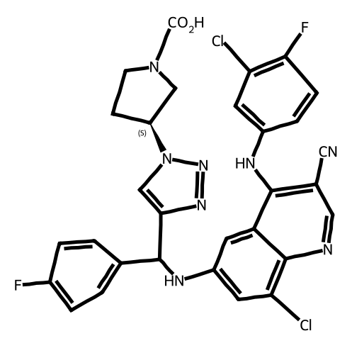 N#Cc1cnc2c(Cl)cc(NC(c3ccc(F)cc3)c3cn([C@H]4CCN(C(=O)O)C4)nn3)cc2c1Nc1ccc(F)c(Cl)c1